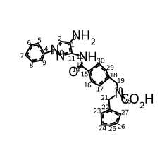 Nc1cn(-c2ccccc2)nc1NC(=O)c1ccc(CN(Cc2ccccc2)C(=O)O)cc1